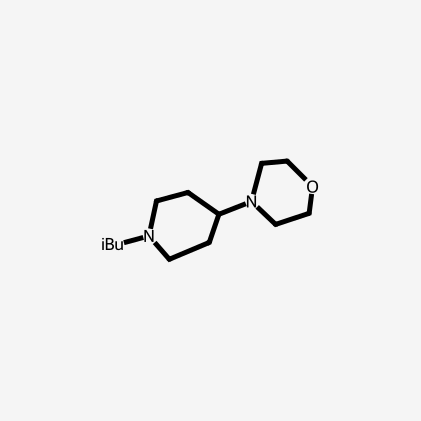 CCC(C)N1CCC(N2CCOCC2)CC1